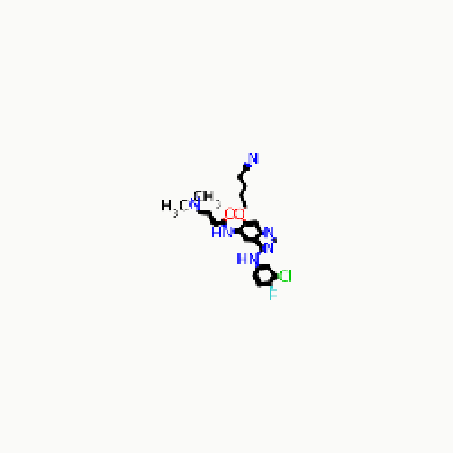 CN(C)CC=CC(=O)Nc1cc2c(Nc3ccc(F)c(Cl)c3)ncnc2cc1OCCCCC#N